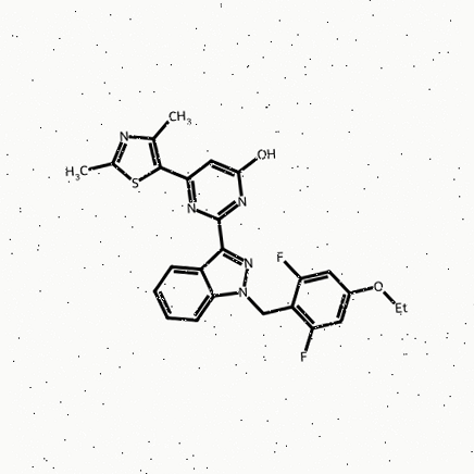 CCOc1cc(F)c(Cn2nc(-c3nc(O)cc(-c4sc(C)nc4C)n3)c3ccccc32)c(F)c1